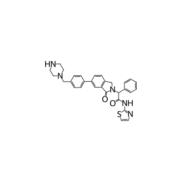 O=C(Nc1nccs1)C(c1ccccc1)N1Cc2ccc(-c3ccc(CN4CCNCC4)cc3)cc2C1=O